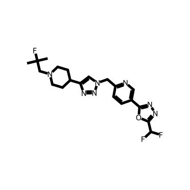 CC(C)(F)CN1CCC(c2cn(Cc3ccc(-c4nnc(C(F)F)o4)cn3)nn2)CC1